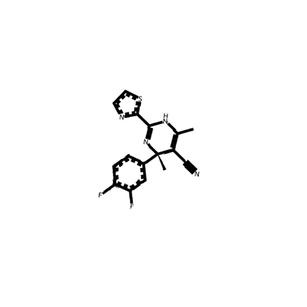 CC1=C(C#N)[C@](C)(c2ccc(F)c(F)c2)N=C(c2nccs2)N1